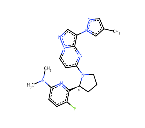 Cc1cnn(-c2cnn3ccc(N4CCC[C@H]4c4nc(N(C)C)ccc4F)nc23)c1